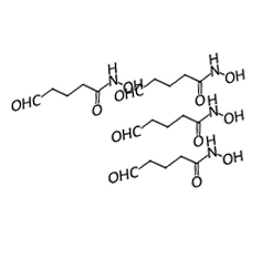 O=CCCCC(=O)NO.O=CCCCC(=O)NO.O=CCCCC(=O)NO.O=CCCCC(=O)NO